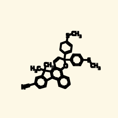 CSC1=CC=C(C2(c3ccc(SC)cc3)C=Cc3c4c(c5ccccc5c3O2)-c2ccc(C#N)cc2C4(C)C)CC1